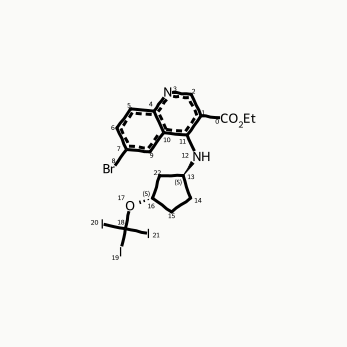 CCOC(=O)c1cnc2ccc(Br)cc2c1N[C@H]1CC[C@H](OC(I)(I)I)C1